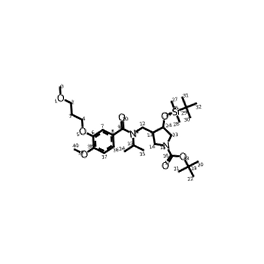 COCCCOc1cc(C(=O)N(CC2CN(C(=O)OC(C)(C)C)CC2O[Si](C)(C)C(C)(C)C)C(C)C)ccc1OC